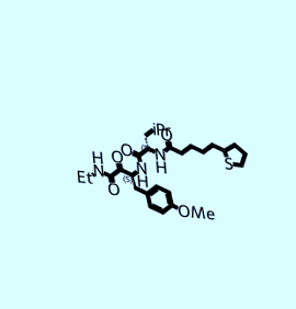 CCNC(=O)C(=O)[C@H](Cc1ccc(OC)cc1)NC(=O)[C@H](CC(C)C)NC(=O)CCCCC1CCCS1